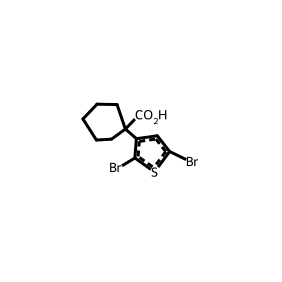 O=C(O)C1(c2cc(Br)sc2Br)CCCCC1